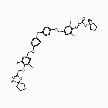 CC(C)C1(OC(=O)COc2c(I)cc(COc3ccc([I+]c4ccc(OCc5cc(I)c(OCC(=O)OC6(C(C)C)CCCC6)c(I)c5)cc4)cc3)cc2I)CCCC1